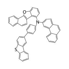 c1ccc2c(c1)ccc1ccc(N(c3ccc(-c4ccc5sc6ccccc6c5c4)cc3)c3cccc4oc5c6ccccc6ccc5c34)cc12